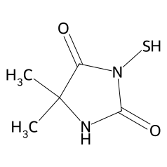 CC1(C)NC(=O)N(S)C1=O